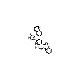 Cc1ncc(-c2nc3[nH]cc(-n4ccccc4=O)c(=O)c3cc2-c2ccc3ncccc3c2)s1